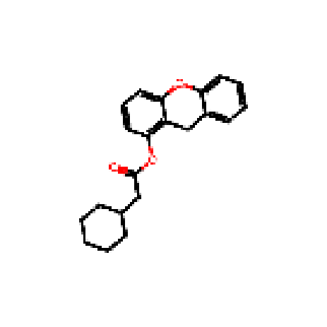 O=C(CC1CCCCC1)Oc1cccc2c1Cc1ccccc1O2